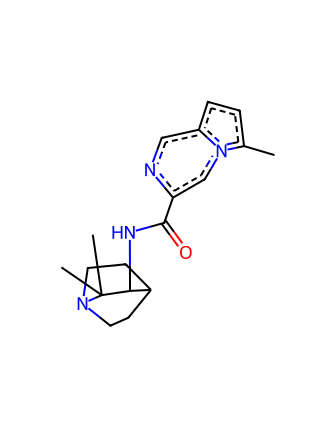 Cc1ccc2cnc(C(=O)NC3C4CCN(CC4)C3(C)C)cn12